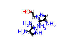 Nc1c[nH]nc1N.Nc1cnn(CCO)c1N